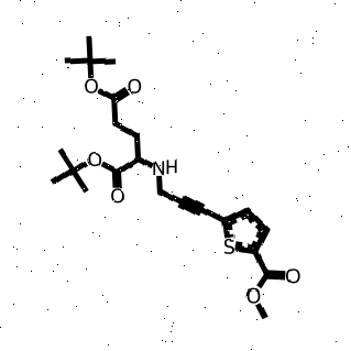 COC(=O)c1ccc(C#CCNC(CCC(=O)OC(C)(C)C)C(=O)OC(C)(C)C)s1